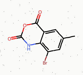 Cc1cc(Br)c2[nH]c(=O)oc(=O)c2c1